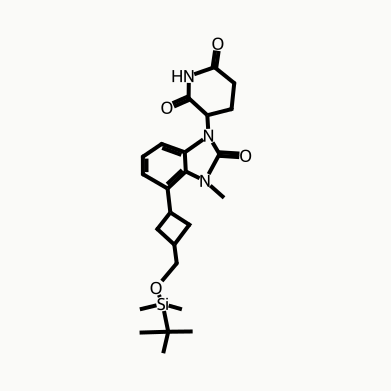 Cn1c(=O)n(C2CCC(=O)NC2=O)c2cccc(C3CC(CO[Si](C)(C)C(C)(C)C)C3)c21